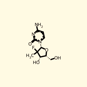 CC1(F)[C@@H](O)[C@@H](CO)O[C@H]1n1ccc(N)nc1=O